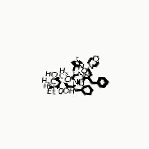 CCNC(=O)[C@@H](C[C@H](O)[C@H](CC1CCCCC1)NC(=O)[C@H](Cc1cscn1)NC(=O)C(CC(=O)N1CCOCC1)Cc1ccccc1)C(C)(C)O